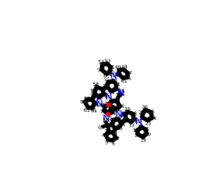 CC1(C)c2ccccc2-c2cc3c4cc(N(c5ccccc5)c5ccccc5)ccc4n(-c4cc(C#N)c(-n5c6ccc(N(c7ccccc7)c7ccccc7)cc6c6ccc7c8ccccc8n(-c8ccccc8)c7c65)cc4C#N)c3cc21